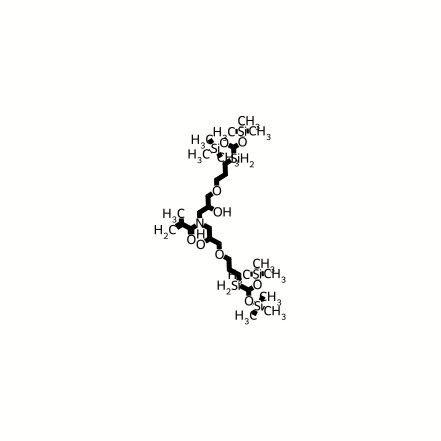 C=C(C)C(=O)N(CC(O)COCCC[SiH2]C(O[Si](C)(C)C)O[Si](C)(C)C)CC(O)COCCC[SiH2]C(O[Si](C)(C)C)O[Si](C)(C)C